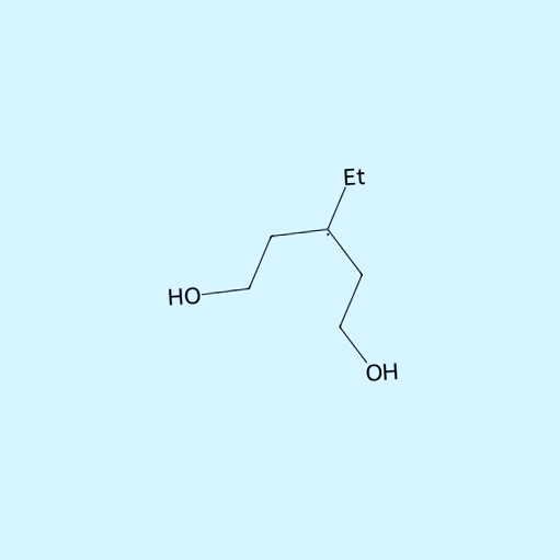 CC[C](CCO)CCO